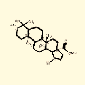 COC(=O)[C@]12CC[C@@H](C(C)C)C1C1CCC3[C@@]4(C)CC[C@H](O)C(C)(C)C4CC[C@@]3(C)[C@]1(C)CC2